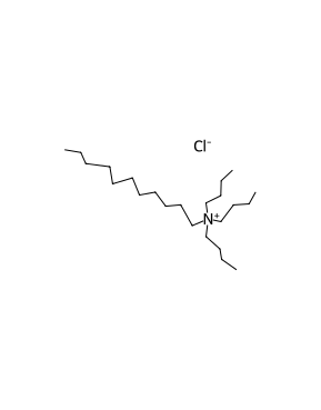 CCCCCCCCCCC[N+](CCCC)(CCCC)CCCC.[Cl-]